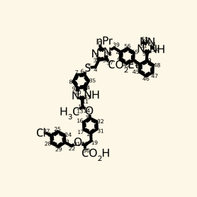 CCCc1nc(CSc2ccc3nc(C(C)Oc4ccc(CC(OCc5ccc(Cl)cc5)C(=O)O)cc4)[nH]c3c2)c(C(=O)OCC)n1Cc1ccc(-c2ccccc2-c2nnn[nH]2)cc1